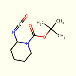 CC(C)(C)OC(=O)N1CCCCC1N=C=O